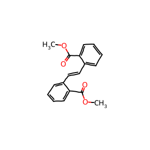 COC(=O)c1ccccc1C=Cc1ccccc1C(=O)OC